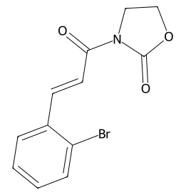 O=C(C=Cc1ccccc1Br)N1CCOC1=O